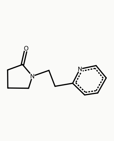 O=C1CCCN1CCc1ccccn1